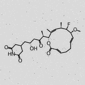 CO[C@H]1/C=C/CC/C=C/C(=O)O[C@H]([C@H](C)C(=O)C[C@H](O)CC2CC(=O)NC(=O)C2)/C(C)=C\[C@@H](C)C1F